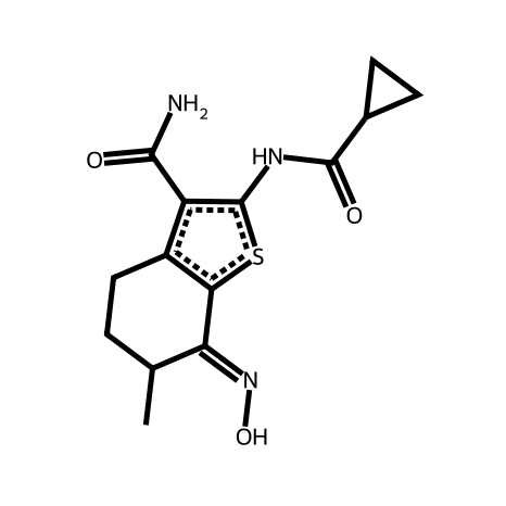 CC1CCc2c(sc(NC(=O)C3CC3)c2C(N)=O)C1=NO